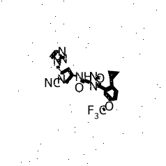 N#CN1C[C@H](NC(=O)c2noc(-c3cc(OC(F)(F)F)ccc3C3CC3)n2)C[C@H]1Cn1ccnn1